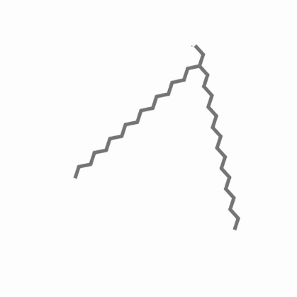 [CH2]CC(CCCCCCCCCCCCCCCC)CCCCCCCCCCCCCCCC